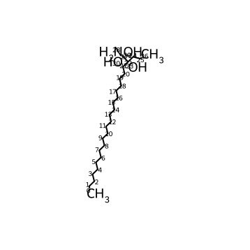 CCCCCCCCCCCCCCCCCCCCCCC(O)(CCC)C(N)(O)O